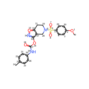 COc1ccc(S(=O)(=O)N2CCc3onc(OC(=O)Nc4ccc(C)cc4)c3C2)cc1